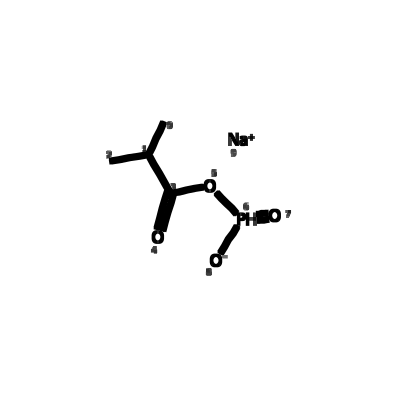 CC(C)C(=O)O[PH](=O)[O-].[Na+]